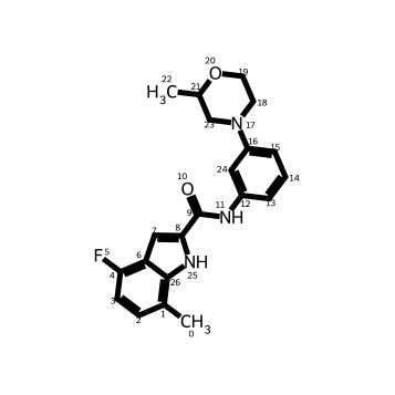 Cc1ccc(F)c2cc(C(=O)Nc3cccc(N4CCOC(C)C4)c3)[nH]c12